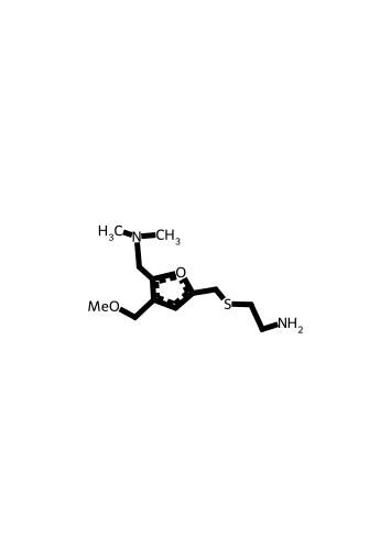 COCc1cc(CSCCN)oc1CN(C)C